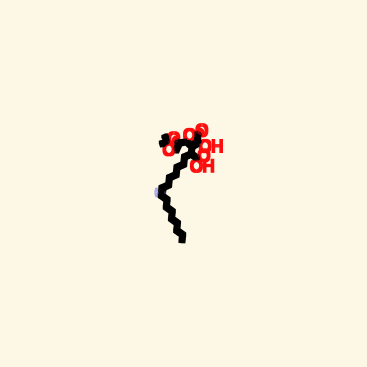 CCCCCCCC/C=C\CCCCCCC(C(=O)O)C1=C(O)C(=O)OC1C1COC(C)(C)O1